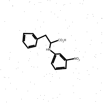 O=C(O)C(Cc1ccccc1)Nc1cccc([N+](=O)[O-])c1